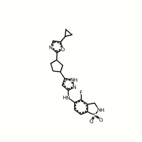 O=S1(=O)NCc2c1ccc(Nc1cc(C3CCC(c4ncc(C5CC5)o4)C3)[nH]n1)c2F